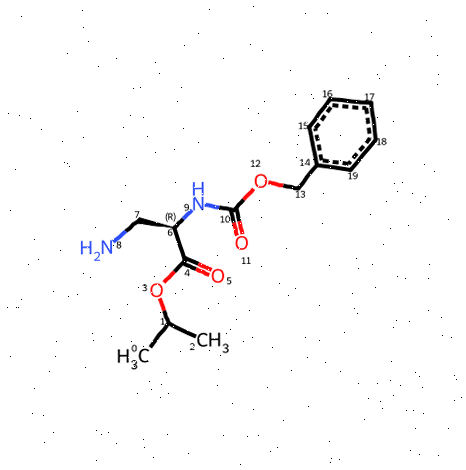 CC(C)OC(=O)[C@@H](CN)NC(=O)OCc1ccccc1